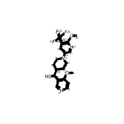 COc1ccncc1C(O)C1CCN(c2cnc(OC)c(C(F)(F)F)c2)CC1